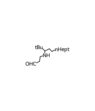 CCCCCCCCCC(NCCC=O)C(C)(C)C